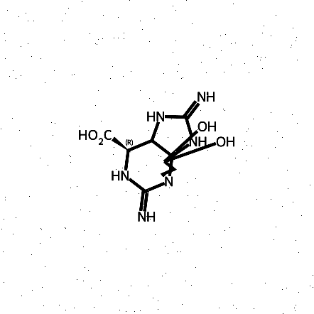 N=C1NC2[C@H](C(=O)O)NC(=N)N3CCC(O)(O)C23N1